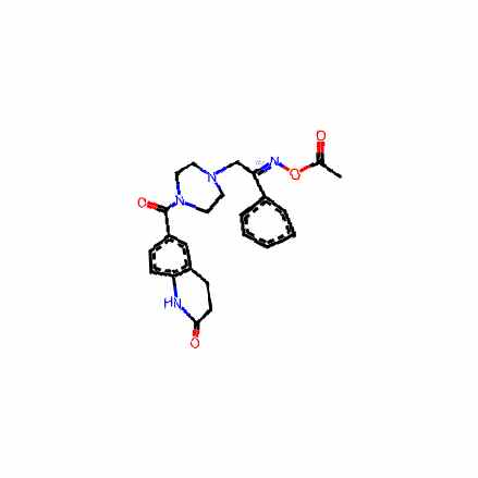 CC(=O)O/N=C(/CN1CCN(C(=O)c2ccc3c(c2)CCC(=O)N3)CC1)c1ccccc1